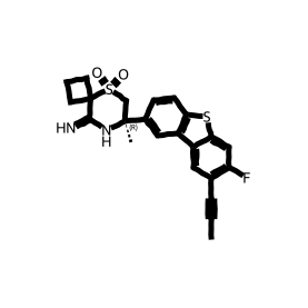 CC#Cc1cc2c(cc1F)sc1ccc([C@]3(C)CS(=O)(=O)C4(CCC4)C(=N)N3)cc12